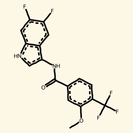 COc1cc(C(=O)Nc2c[nH]c3cc(F)c(F)cc23)ccc1C(F)(F)F